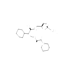 C[C@H](C(=O)NC[C@H](C(=O)NCc1cnc(N)s1)C1CCCCC1)N1CCCCC1